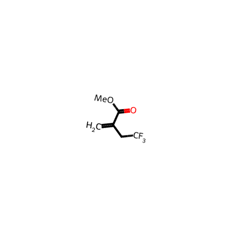 C=C(CC(F)(F)F)C(=O)OC